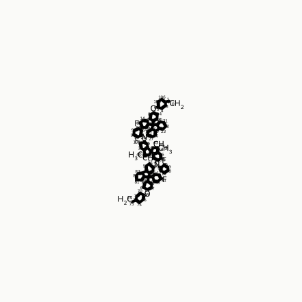 C=Cc1ccc(Oc2ccc(C3(c4ccc(F)cc4)c4ccccc4-c4ccc(N(c5ccc6c(c5)C5(CC6(C)C)CC(C)(C)c6ccc(N(c7ccc8c(c7)C(c7ccc(F)cc7)(c7ccc(Oc9ccc(C=C)cc9)cc7)c7ccccc7-8)c7ccccc7F)cc65)c5ccccc5F)cc43)cc2)cc1